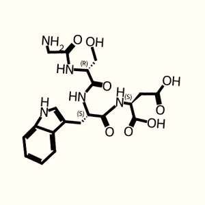 NCC(=O)N[C@H](CO)C(=O)N[C@@H](Cc1c[nH]c2ccccc12)C(=O)N[C@@H](CC(=O)O)C(=O)O